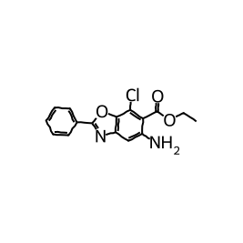 CCOC(=O)c1c(N)cc2nc(-c3ccccc3)oc2c1Cl